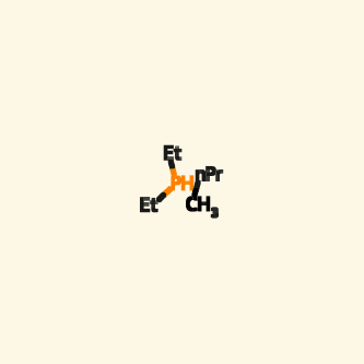 CCCC.CCPCC